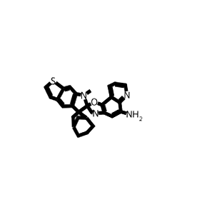 CN1c2cc3sccc3cc2C2(CC3CCCC2C3)C12C=Nc1cc(N)c3ncccc3c1O2